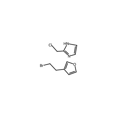 BrCCc1ccoc1.ClCc1ncc[nH]1